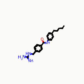 CCCCCc1ccc(NC(=O)c2ccc(CNC(=N)N)cc2)cc1